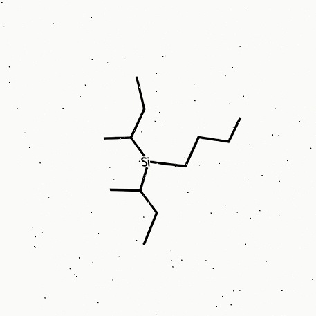 CCCC[Si](C(C)CC)C(C)CC